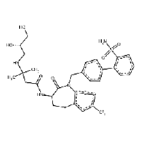 CC(C)(CC(=O)N[C@@H]1CCc2cc(C(F)(F)F)ccc2N(Cc2ccc(-c3ccccc3S(N)(=O)=O)cc2)C1=O)NC[C@H](O)CO